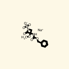 COC1(NC(=O)OCc2ccccc2)CN(S(=O)(=O)[O-])C1=O.[Na+]